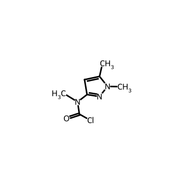 Cc1cc(N(C)C(=O)Cl)nn1C